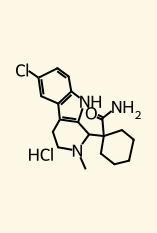 CN1CCc2c([nH]c3ccc(Cl)cc23)C1C1(C(N)=O)CCCCC1.Cl